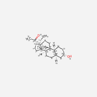 CC[C@]12CC[C@H]3[C@@H](CC[C@@H]4C[C@@H](O)CC[C@@H]43)[C@@H]1CC[C@@H]2C(C)=O